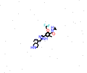 C/C=C\C(=C/c1ncc(-c2cc(C)c(C(=O)NC3CC3)c(OCC(F)F)c2)[nH]1)C1CCNCC1